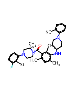 CCc1c(F)cccc1N1CCN(C(=O)c2c(C)cc(C)c(NC3CCN(c4ccccc4C#N)CC3)c2C)[C@@H](C)C1